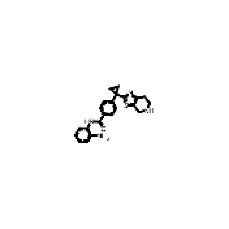 Nc1ccccc1NC(=O)c1ccc(C2(c3nc4c(s3)CNCC4)CC2)cc1